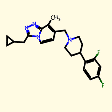 Cc1c(CN2CCC(c3ccc(F)cc3F)CC2)ccn2c(CC3CC3)nnc12